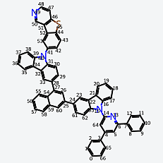 c1ccc(-c2cc(-c3ccccc3)nc(-n3c4ccccc4c4cc(-c5cc(-c6ccc7c(c6)c6ccccc6n7-c6ccc7sc8ccncc8c7c6)c6ccccc6c5)ccc43)c2)cc1